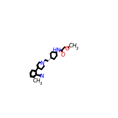 COCC(=O)N[C@H]1CC[C@H](CCN2CC=C(c3cccc(C)c3C#N)CC2)CC1